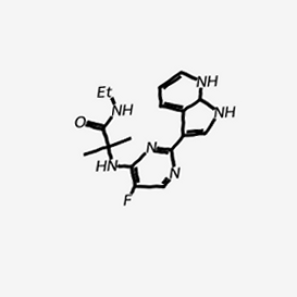 CCNC(=O)C(C)(C)Nc1nc(C2=CNC3NC=CC=C23)ncc1F